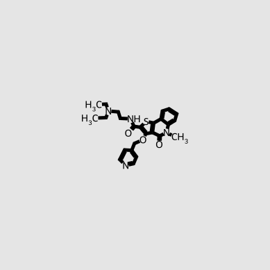 CCN(CC)CCNC(=O)c1sc2c(c1OCc1ccncc1)c(=O)n(C)c1ccccc21